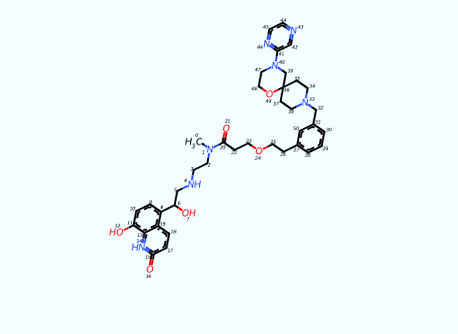 CN(CCNCC(O)c1ccc(O)c2[nH]c(=O)ccc12)C(=O)CCOCCc1cccc(CN2CCC3(CC2)CN(c2cnccn2)CCO3)c1